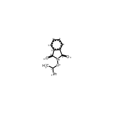 CC(C)C(C)ON1C(=O)c2ccccc2C1=O